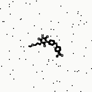 CCOCCCn1c(=O)[nH]c(=O)n(-c2ccc(Sc3ccc([N+](=O)[O-])cc3)cc2)c1=O